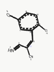 N#C/C(C=N)=C/c1cc(Cl)ccc1Cl